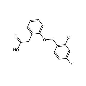 O=C(O)Cc1ccccc1OCc1ccc(F)cc1Cl